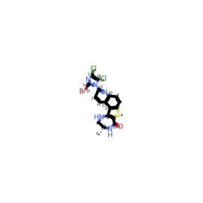 C[C@@H]1CNc2c(sc3ccc4nc(-n5c(Br)nc(Cl)c5Cl)ccc4c23)C(=O)N1